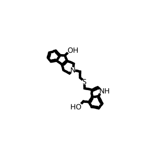 OCc1cccc2[nH]cc(CSCCN3CCC4=C(C3)C(O)c3ccccc34)c12